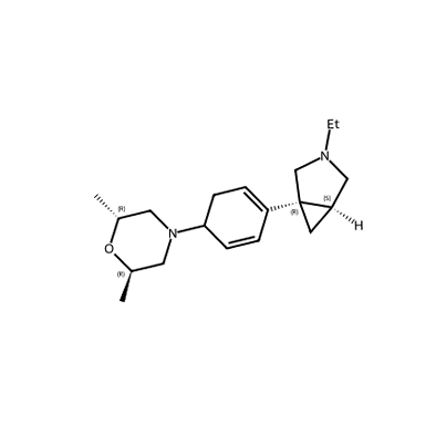 CCN1C[C@H]2C[C@@]2(C2=CCC(N3C[C@@H](C)O[C@H](C)C3)C=C2)C1